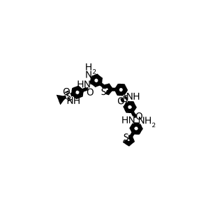 N=S(=O)(c1ccc(C(=O)Nc2cc(-c3cccs3)ccc2N)cc1)c1cccc(-c2csc(-c3ccc(N)c(NC(=O)c4ccc(S(=N)(=O)C5CC5)cc4)c3)c2)c1